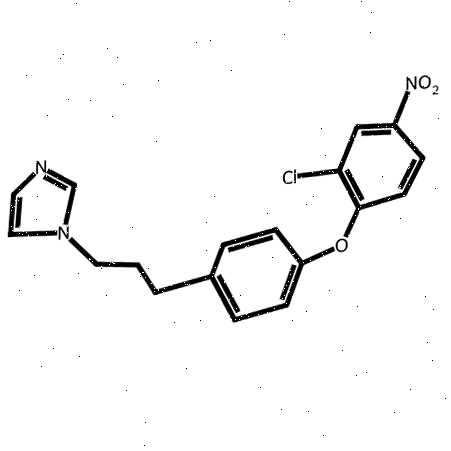 O=[N+]([O-])c1ccc(Oc2ccc(CCCn3ccnc3)cc2)c(Cl)c1